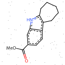 COC(=O)c1ccc2c3c([nH]c2c1)CCCCC3